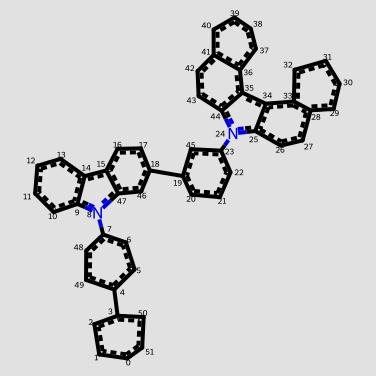 c1ccc(-c2ccc(-n3c4ccccc4c4ccc(-c5cccc(-n6c7ccc8ccccc8c7c7c8ccccc8ccc76)c5)cc43)cc2)cc1